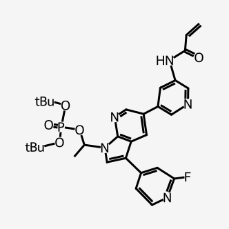 C=CC(=O)Nc1cncc(-c2cnc3c(c2)c(-c2ccnc(F)c2)cn3C(C)OP(=O)(OC(C)(C)C)OC(C)(C)C)c1